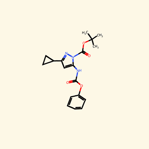 CC(C)(C)OC(=O)n1nc(C2CC2)cc1NC(=O)Oc1ccccc1